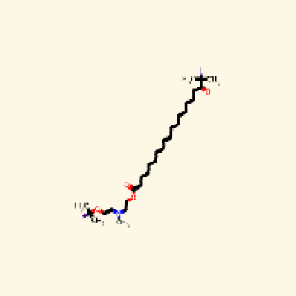 CN(CCOC(=O)CCCCCCC/C=C/CCCCCCCC(=O)C(C)(C)I)CCOC(C)(C)I